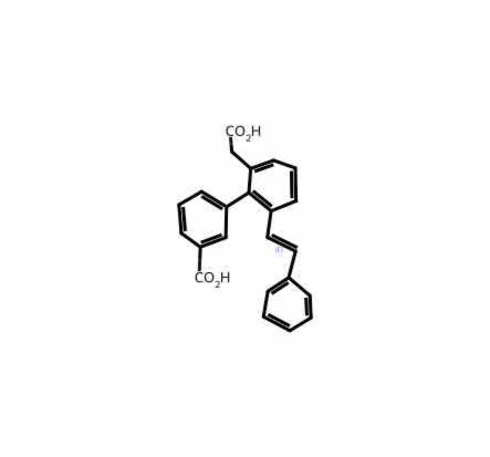 O=C(O)Cc1cccc(/C=C/c2ccccc2)c1-c1cccc(C(=O)O)c1